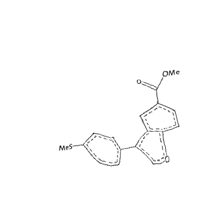 COC(=O)c1ccc2occ(-c3ccc(SC)cc3)c2c1